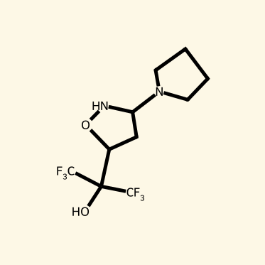 OC(C1CC(N2CCCC2)NO1)(C(F)(F)F)C(F)(F)F